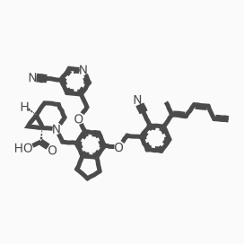 C=C/C=C\C=C(/C)c1cccc(COc2cc(OCc3cncc(C#N)c3)c(CN3CCC[C@@H]4C[C@@]43C(=O)O)c3c2CCC3)c1C#N